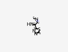 C/N=C\C(=N)c1nncs1